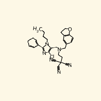 CCCCn1c(C2=CCCC=C2)nc(Cl)c1CN(CCC(C#N)(C#N)C#N)Cc1ccc2c(c1)CCO2